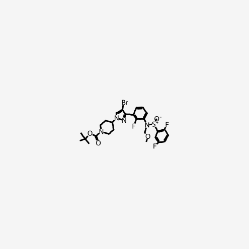 COCN(c1cccc(-c2nn(C3CCN(C(=O)OC(C)(C)C)CC3)cc2Br)c1F)[S+]([O-])c1cc(F)ccc1F